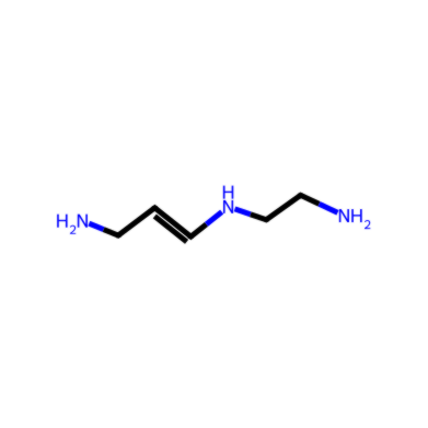 NCC=CNCCN